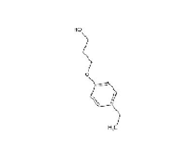 CCc1ccc(OCCCO)cc1